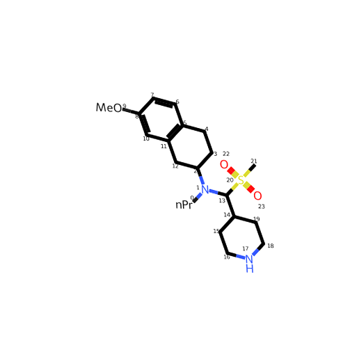 CCCN(C1CCc2ccc(OC)cc2C1)C(C1CCNCC1)S(C)(=O)=O